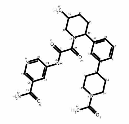 CC(=O)N1CCC(c2cccc(C3CCC(C)CN3C(=O)C(=O)Nc3cncc(C(N)=O)c3)c2)CC1